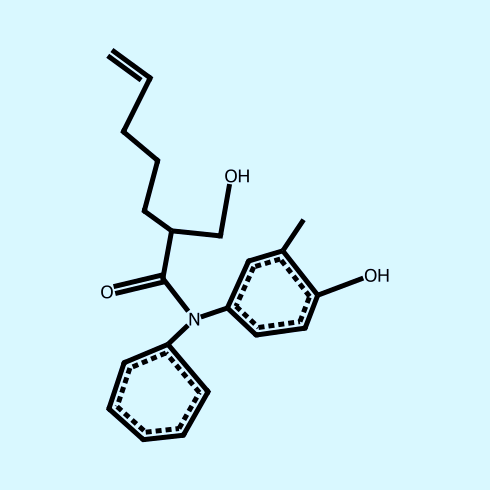 C=CCCCC(CO)C(=O)N(c1ccccc1)c1ccc(O)c(C)c1